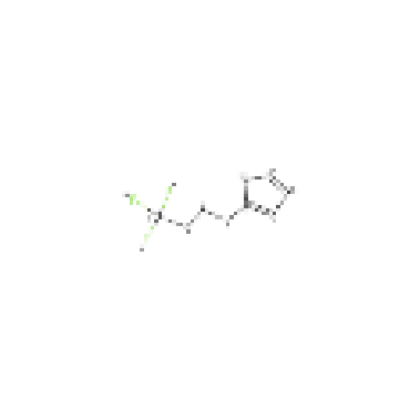 FC(F)(F)CCCC1=CC=CC1